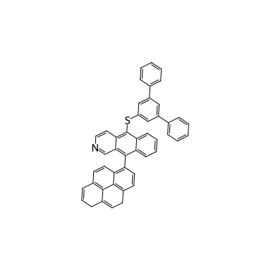 C1=Cc2ccc3c(-c4c5ccccc5c(Sc5cc(-c6ccccc6)cc(-c6ccccc6)c5)c5ccncc45)ccc4c3c2C(=CC4)C1